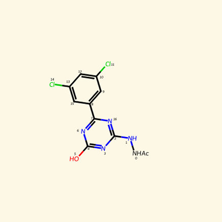 CC(=O)NNc1nc(O)nc(-c2cc(Cl)cc(Cl)c2)n1